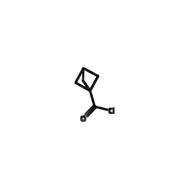 O=C(Cl)C12CC(C1)C2